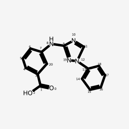 O=C(O)c1cccc(Nc2ncn(-c3ccccc3)n2)c1